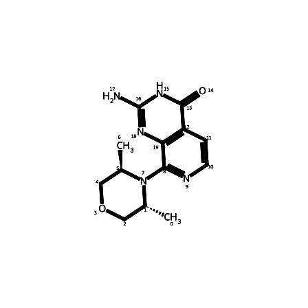 C[C@@H]1COC[C@@H](C)N1c1nccc2c(=O)[nH]c(N)nc12